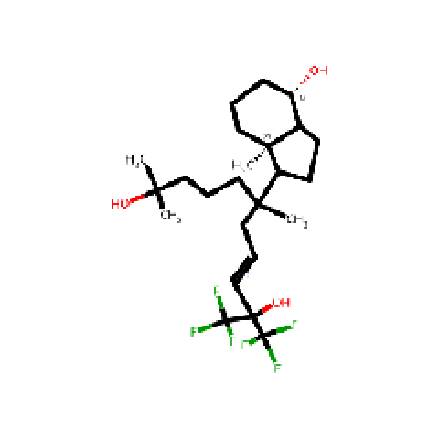 CC(C)(O)CCCC(C)(C/C=C/C(O)(C(F)(F)F)C(F)(F)F)C1CCC2[C@@H](O)CCC[C@@]21C